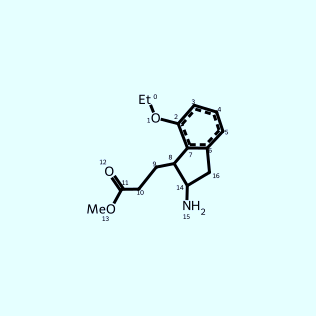 CCOc1cccc2c1C(CCC(=O)OC)C(N)C2